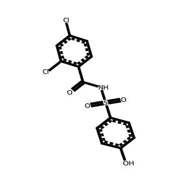 O=C(NS(=O)(=O)c1ccc(O)cc1)c1ccc(Cl)cc1Cl